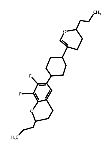 CCCC1CCC(C2CCC(c3cc4c(c(F)c3F)OC(CCC)CC4)CC2)=CO1